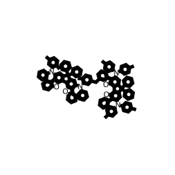 Cc1ccc(N(c2ccc(C)cc2)c2cc3c(c4oc5ccccc5c24)-c2c(cc(N(c4ccc(C)cc4)c4ccc(C)cc4)c4c2oc2c(Cc5ccc(C)c(N(c6ccccc6)c6cc7c(c8oc9ccccc9c68)-c6c(cc(N(c8ccccc8)c8cc(C)ccc8C)c8c6oc6ccccc68)C7(c6ccccc6)c6ccccc6)c5)cccc24)C3(c2ccccc2)c2ccccc2)cc1